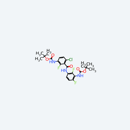 CC(C)(C)OC(=O)Nc1ccc(Cl)c(C(=O)Nc2ccc(F)c(NC(=O)OC(C)(C)C)c2F)c1F